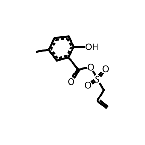 C=CCS(=O)(=O)OC(=O)c1cc(C)ccc1O